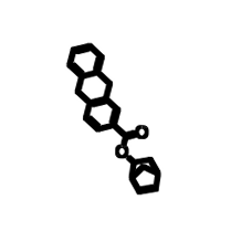 O=C(OC1CC2C=CC1C2)c1ccc2c(c1)Cc1ccccc1C2